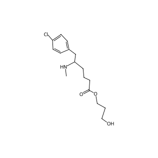 CNC(CCCC(=O)OCCCO)Cc1ccc(Cl)cc1